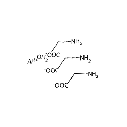 NCC(=O)[O-].NCC(=O)[O-].NCC(=O)[O-].O.[Al+3]